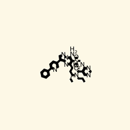 CCCN(C(=O)c1cncnc1N)[C@H](CC)CCc1nc2c(-c3ccc(-c4ccccc4)nc3)cnn2c(N)c1S(C)(=O)=O